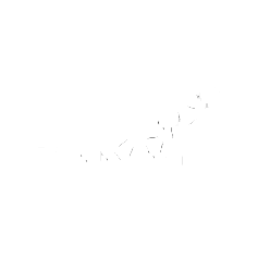 Cc1nc(-c2ccc(N3CCN(CCCO)CC3)cc2)cc2c1cc(-c1ccc(S(=O)(=O)C3CC3)cc1)n2C